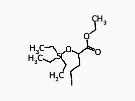 CCOC(=O)C(CCI)O[Si](CC)(CC)CC